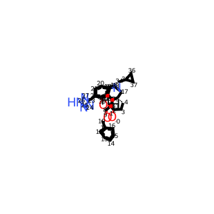 CO[C@]12CC[C@@]3(C[C@@H]1COCc1ccccc1)C1Cc4ccc(-c5nn[nH]n5)c5c4[C@@]3(CCN1CC1CC1)[C@H]2O5